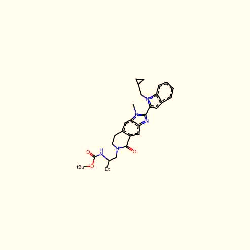 CCC(CN1CCc2cc3c(cc2C1=O)nc(-c1cc2ccccc2n1CC1CC1)n3C)NC(=O)OC(C)(C)C